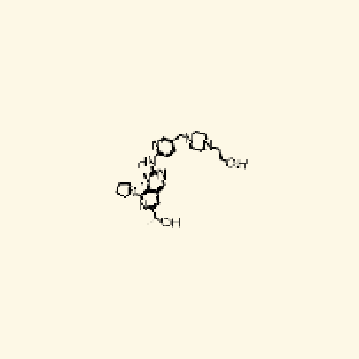 C[C@@H](O)c1cc2cnc(Nc3ccc(CN4CCN(CCO)CC4)cn3)nc2c(N2CCCC2)n1